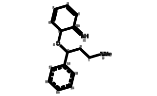 CNCCC(OC1C=CC=CC1=N)c1ccccc1